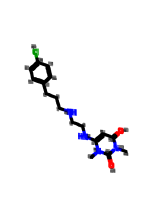 Cn1c(NCCNCCCc2ccc(Cl)cc2)cc(=O)n(C)c1=O